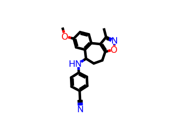 COc1ccc2c(c1)C(Nc1ccc(C#N)cc1)CCc1onc(C)c1-2